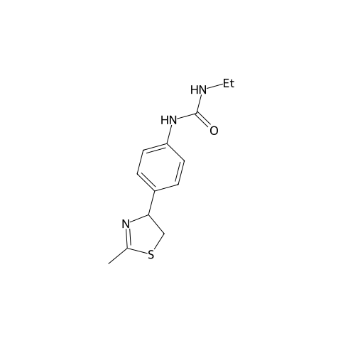 CCNC(=O)Nc1ccc(C2CSC(C)=N2)cc1